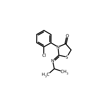 CC(C)/N=C1\SCC(=O)N1c1ccccc1Cl